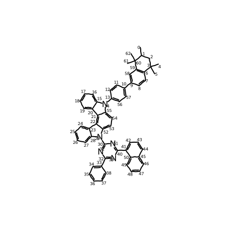 CC1CC(C)(C)c2ccc(-c3ccc(-n4c5ccccc5c5c6c7ccccc7n(-c7nc(-c8ccccc8)nc(-c8cccc9ccccc89)n7)c6ccc54)cc3)cc2C1(C)C